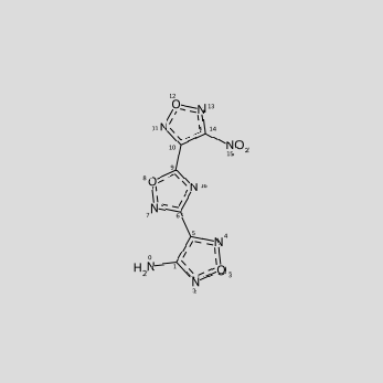 Nc1nonc1-c1noc(-c2nonc2[N+](=O)[O-])n1